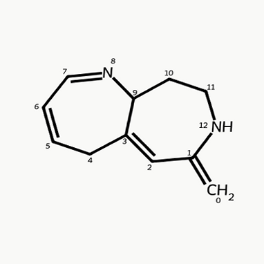 C=C1C=C2CC=CC=NC2CCN1